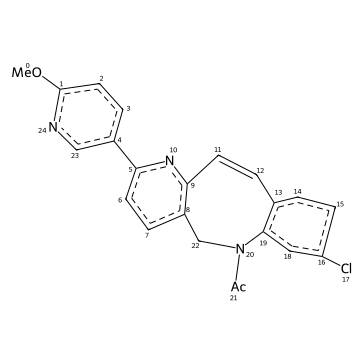 COc1ccc(-c2ccc3c(n2)/C=C\c2ccc(Cl)cc2N(C(C)=O)C3)cn1